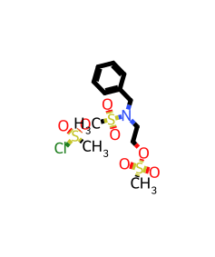 CS(=O)(=O)Cl.CS(=O)(=O)OCCN(Cc1ccccc1)S(C)(=O)=O